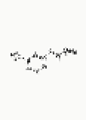 CO/N=C/c1c[c]cc(C)c1